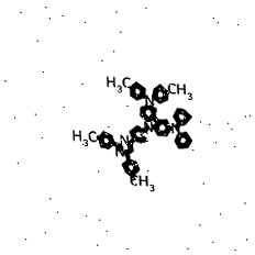 Cc1ccc(-c2cc(-c3ccc(-n4c5ccc(N(c6ccccc6)c6ccccc6)cc5c5cc(N(c6ccc(C)cc6)c6ccc(C)cc6)ccc54)cc3)nc(-c3ccc(C)cc3)n2)cc1